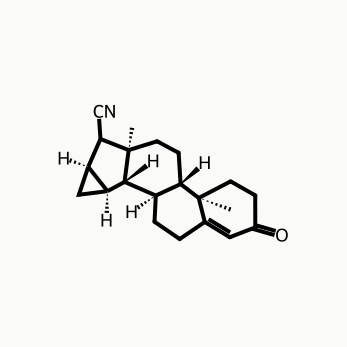 C[C@]12CCC(=O)C=C1CC[C@H]1[C@@H]3[C@H]4C[C@H]4C(C#N)[C@@]3(C)CC[C@@H]12